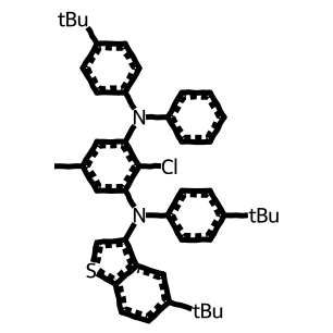 Cc1cc(N(c2ccccc2)c2ccc(C(C)(C)C)cc2)c(Cl)c(N(c2ccc(C(C)(C)C)cc2)c2csc3ccc(C(C)(C)C)cc23)c1